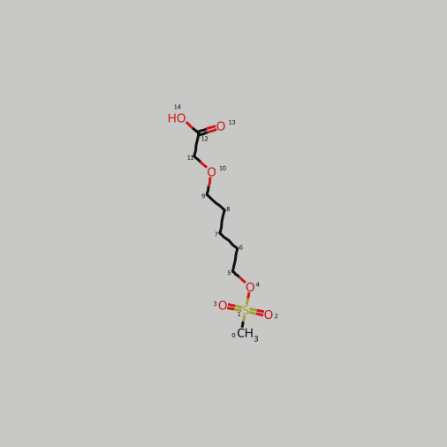 CS(=O)(=O)OCCCCCOCC(=O)O